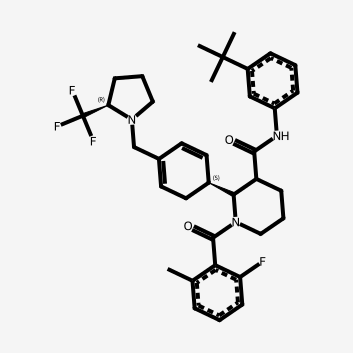 Cc1cccc(F)c1C(=O)N1CCCC(C(=O)Nc2cccc(C(C)(C)C)c2)C1[C@@H]1C=CC(CN2CCC[C@@H]2C(F)(F)F)=CC1